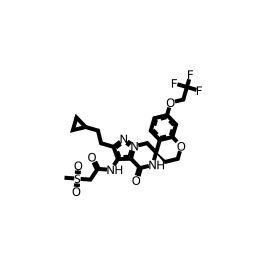 CS(=O)(=O)CC(=O)Nc1c(CCC2CC2)nn2c1C(=O)N[C@]1(CCOc3cc(OCC(F)(F)F)ccc31)C2